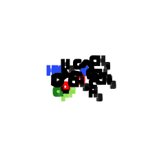 CC1CC(C)N(C(=O)CC(C)c2c[nH]c3ccc(Cl)c(OC(F)(F)F)c23)C(CC(C)(C)C)C1